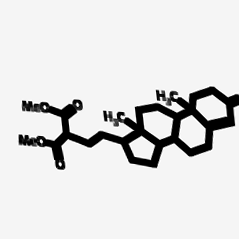 COC(=O)C(CCC1CCC2C3CCC4=CC(=O)CCC4(C)C3CCC12C)C(=O)OC